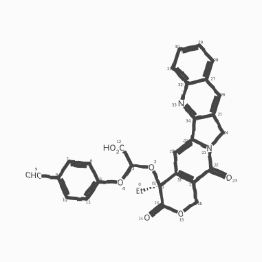 CC[C@@]1(OC(Oc2ccc(C=O)cc2)C(=O)O)C(=O)OCc2c1cc1n(c2=O)Cc2cc3ccccc3nc2-1